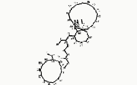 CCC(CCCC(CC)C[C@@H]1CCCCCCCCCCC1CC)CC1CCCCCC2(CCCCCCCCCCCCCC2)C1CN